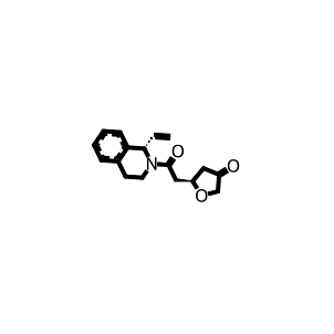 C=C[C@H]1c2ccccc2CCN1C(=O)C[C@H]1CC(=O)CO1